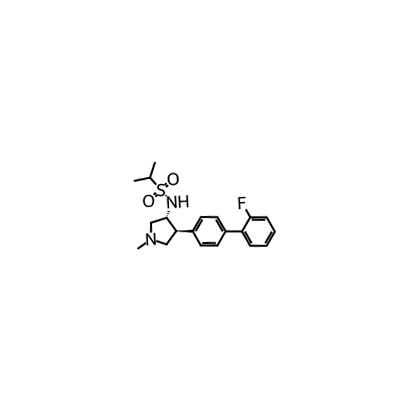 CC(C)S(=O)(=O)N[C@H]1CN(C)C[C@@H]1c1ccc(-c2ccccc2F)cc1